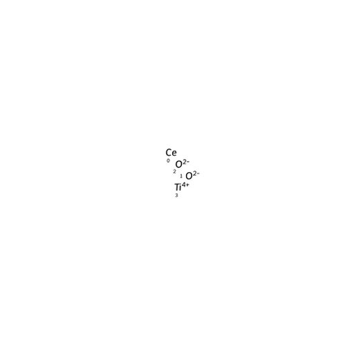 [Ce].[O-2].[O-2].[Ti+4]